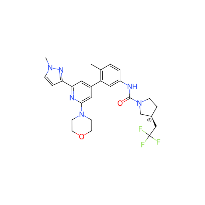 Cc1ccc(NC(=O)N2CC[C@@H](CC(F)(F)F)C2)cc1-c1cc(-c2ccn(C)n2)nc(N2CCOCC2)c1